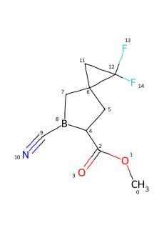 COC(=O)C1CC2(CB1C#N)CC2(F)F